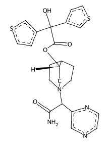 NC(=O)C(c1cnccn1)[N+]12CCC(CC1)[C@@H](OC(=O)C(O)(c1ccsc1)c1ccsc1)C2